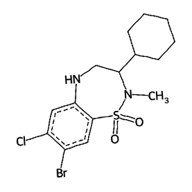 CN1C(C2CCCCC2)CNc2cc(Cl)c(Br)cc2S1(=O)=O